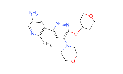 Cc1ncc(N)cc1-c1cc(N2CCOCC2)c(OC2CCOCC2)nn1